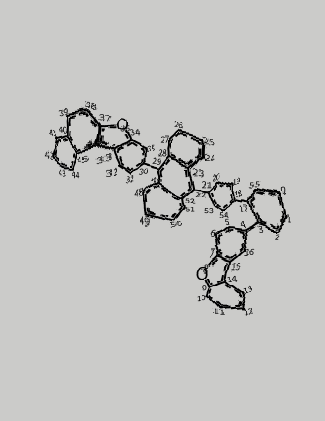 c1ccc(-c2ccc3oc4ccccc4c3c2)c(-c2ccc(-c3c4ccccc4c(-c4ccc5c(c4)oc4ccc6ccccc6c45)c4ccccc34)cc2)c1